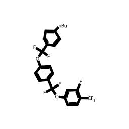 CCCCc1ccc(C(F)(F)Oc2ccc(C(F)(F)Oc3ccc(C(F)(F)F)c(F)c3)cc2)cc1